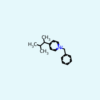 CC(C)C(C)c1cc[n+](Cc2ccccc2)cc1